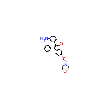 Nc1cccc(C2=C(c3ccccc3)c3ccc(OCCN4CCOCC4)cc3C2=O)c1